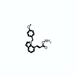 COc1ccc(Cn2ccc3cccc(/C=C/C(=O)ON)c32)cc1